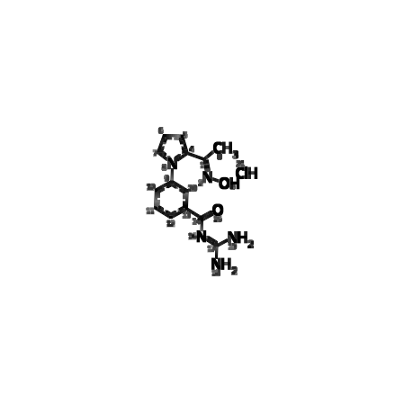 CC(=NO)c1cccn1-c1cccc(C(=O)N=C(N)N)c1.Cl